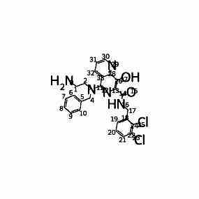 NCCN(Cc1ccccc1)c1nc(C(=O)NCc2cccc(Cl)c2Cl)c(O)c2ncccc12